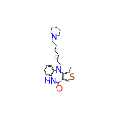 Cc1scc2c1N(C/C=C/CCCN1CCCCC1)c1ccccc1NC2=O